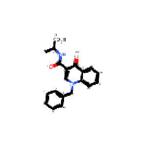 CC(NC(=O)c1cn(Cc2ccccc2)c2ccccc2c1=O)C(=O)O